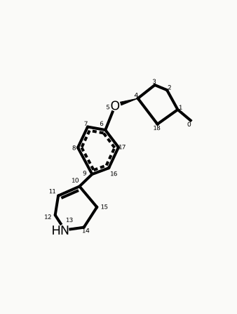 CC1CC[C@H](Oc2ccc(C3=CCNCC3)cc2)C1